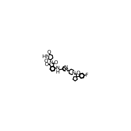 O=C1CCC(N2C(=O)c3cccc(NCc4cnn(C5CCN(C(=O)C6(c7ccc(F)cc7)CCCC6)CC5)c4)c3C2=O)C(=O)N1